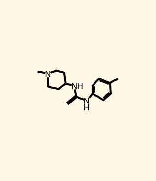 C=C(Nc1ccc(C)cc1)NC1CCN(C)CC1